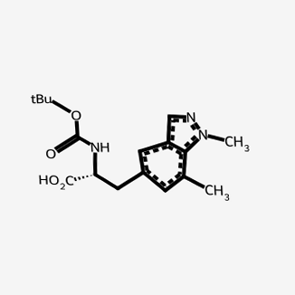 Cc1cc(C[C@@H](NC(=O)OC(C)(C)C)C(=O)O)cc2cnn(C)c12